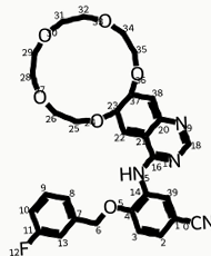 N#Cc1ccc(OCc2cccc(F)c2)c(Nc2ncnc3c2=CC2OCCOCCOCCOCCOC2C=3)c1